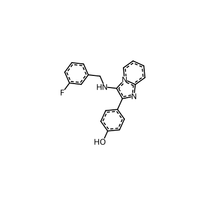 Oc1ccc(-c2nc3ccccn3c2NCc2cccc(F)c2)cc1